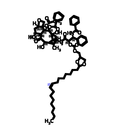 CCCCCCCC/C=C\CCCCCCCC1OCC(COC(=O)O[C@@H](C(=O)O[C@H]2C[C@@]3(O)[C@@H](OC(=O)c4ccccc4)[C@@H]4[C@]5(OC(C)=O)CO[C@@H]5C[C@H](O)[C@@]4(C)C(=O)[C@H](O)C(=C2C)C3(C)C)[C@@H](NC(=O)c2ccccc2)c2ccccc2)O1